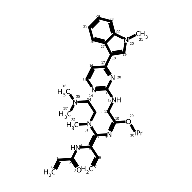 C=CC(=O)N/C(C=C)=C(/N=C(\CNc1nccc(-c2cn(C)c3ccccc23)n1)OC(C)C)N(C)CCN(C)C